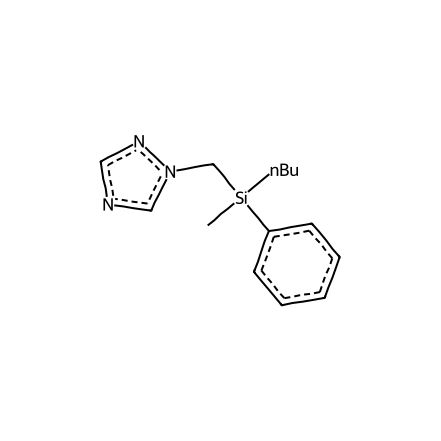 CCCC[Si](C)(Cn1cncn1)c1ccccc1